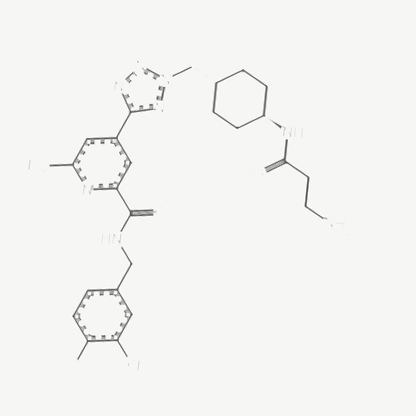 Cc1cc(-c2nnn(C[C@H]3CC[C@H](NC(=O)CCN)CC3)n2)cc(C(=O)NCc2ccc(F)c(C)c2)n1